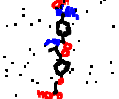 CC(NC(=O)c1ccc(/C(N)=N/O)cc1)C(=O)c1ccc(OCC(=O)O)cc1